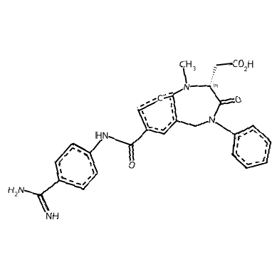 CN1c2ccc(C(=O)Nc3ccc(C(=N)N)cc3)cc2CN(c2ccccc2)C(=O)[C@H]1CC(=O)O